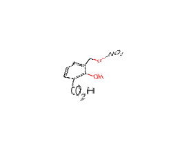 O=C(O)c1cccc(CO[N+](=O)[O-])c1O